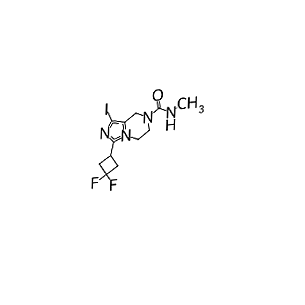 CNC(=O)N1CCn2c(C3CC(F)(F)C3)nc(I)c2C1